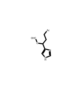 CC(=O)CCC(OC=O)c1c[nH]cn1